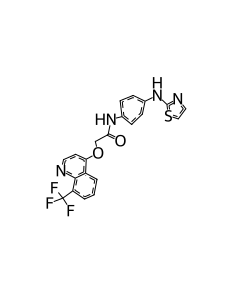 O=C(COc1ccnc2c(C(F)(F)F)cccc12)Nc1ccc(Nc2nccs2)cc1